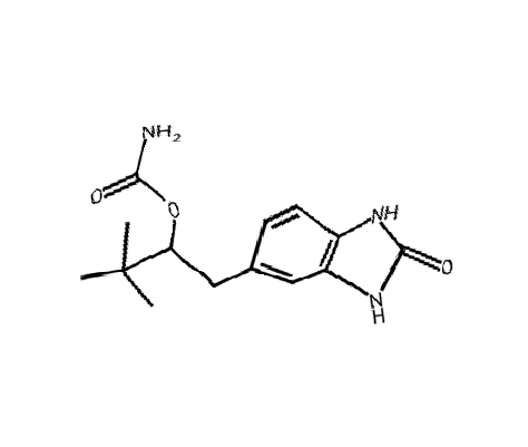 CC(C)(C)C(Cc1ccc2[nH]c(=O)[nH]c2c1)OC(N)=O